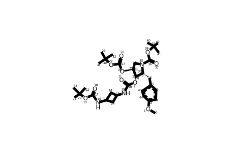 COc1ccc(C[C@@H]2[C@H](OC(=O)NC3CC(NC(=O)OC(C)(C)C)C3)[C@@H](OC(=O)OC(C)(C)C)CN2C(=O)OC(C)(C)C)cc1